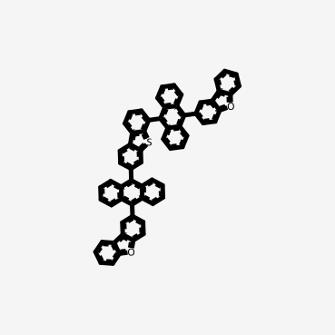 c1ccc2c(c1)oc1ccc(-c3c4ccccc4c(-c4ccc5c(c4)sc4c(-c6c7ccccc7c(-c7ccc8oc9ccccc9c8c7)c7ccccc67)cccc45)c4ccccc34)cc12